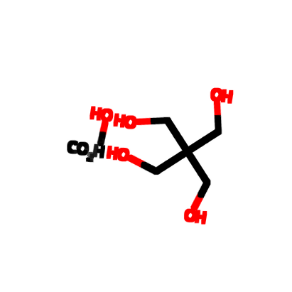 O=C(O)O.OCC(CO)(CO)CO